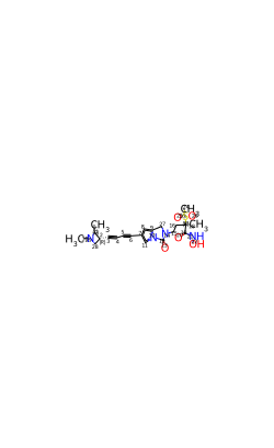 C[C@H]1[C@H](C#CC#Cc2cc3n(c2)C(=O)N(CC[C@](C)(C(=O)NO)S(C)(=O)=O)C3)CN1C